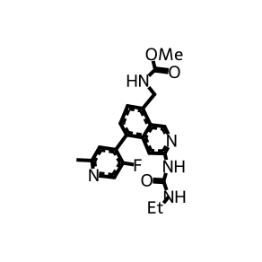 CCNC(=O)Nc1cc2c(-c3cc(C)ncc3F)ccc(CNC(=O)OC)c2cn1